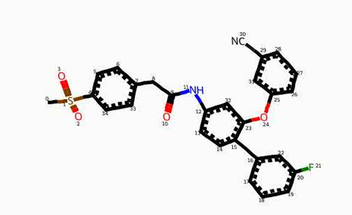 CS(=O)(=O)c1ccc(CC(=O)Nc2ccc(-c3cccc(F)c3)c(Oc3cccc(C#N)c3)c2)cc1